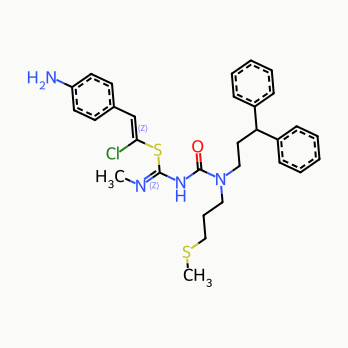 C/N=C(/NC(=O)N(CCCSC)CCC(c1ccccc1)c1ccccc1)S/C(Cl)=C/c1ccc(N)cc1